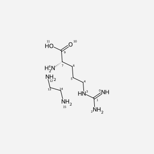 N=C(N)NCCC[C@H](N)C(=O)O.NCCN